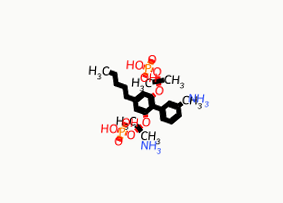 CCCCCc1cc(OC(C)(C)OP(=O)(O)O)c(-c2cccc(C)c2)c(OC(C)(C)OP(=O)(O)O)c1.N.N